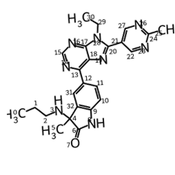 CCCNC1(C)C(=O)Nc2ccc(-c3ncnc4c3nc(-c3cnc(C)nc3)n4CC)cc21